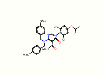 COC(=O)c1c(N(Cc2ccc(OC)cc2)Cc2ccc(OC)cc2)ncn(-c2c(Cl)cc(OC(F)F)cc2Cl)c1=O